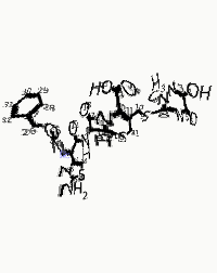 Cn1nc(O)c(=O)nc1SCC1=C(C(=O)O)N2C(=O)[C@@H](NC(=O)/C(=N\OCc3ccccc3)c3csc(N)n3)[C@@H]2SC1